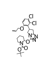 C=CCOc1ccc(Cl)c(Cl)c1C1Cc2nnc(OC3CCCCN3C(=O)OC(C)(C)C)n2C1